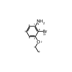 CCOc1cccc(N)c1Br